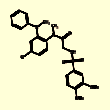 COc1ccc(S(=O)(=O)NCC(=O)N(C)c2ccc(Cl)cc2N(C)c2ccccc2)cc1OC